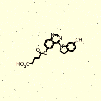 Cc1ccc2c(c1)N(c1ncnc3ccc(OC(=O)C=CCC(=O)O)cc13)CC2